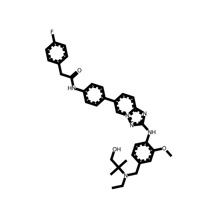 CCN(Cc1ccc(Nc2nc3ccc(-c4ccc(NC(=O)Cc5ccc(F)cc5)cc4)cn3n2)c(OC)c1)C(C)(C)CO